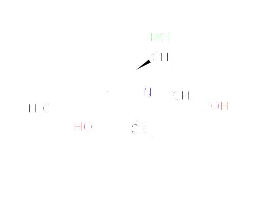 CC1CCC[C@](C)(N(C)C)C1(O)c1cccc(O)c1.Cl